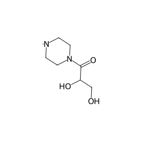 O=C(C(O)CO)N1CC[N]CC1